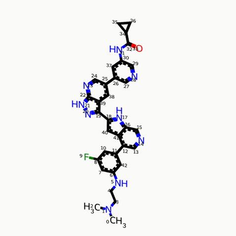 CN(C)CCNc1cc(F)cc(-c2cncc3[nH]c(-c4n[nH]c5ncc(-c6cncc(NC(=O)C7CC7)c6)cc45)cc23)c1